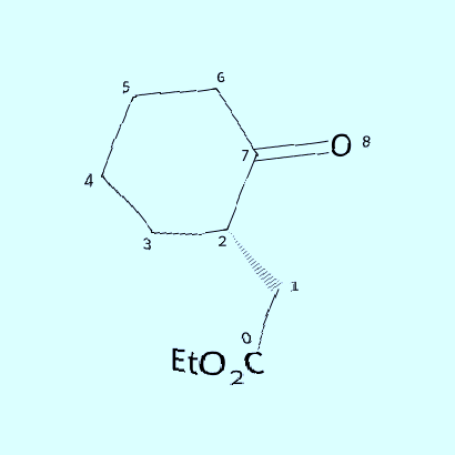 CCOC(=O)C[C@@H]1CCCCC1=O